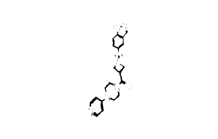 O=C(C1CN(S(=O)(=O)c2ccc3[nH]ncc3c2)C1)N1CCN(c2ccncc2)CC1